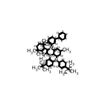 Cc1ccc(-c2ccccc2)cc1N1c2c(sc3c2C(C)(C)CCC3(C)C)B2c3cc(C(C)(C)C)ccc3N(C3=CC=C(C(C)(C)C)CC3)C3CC(C)C[C@H]1C23